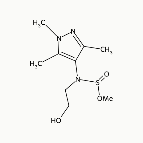 COS(=O)N(CCO)c1c(C)nn(C)c1C